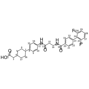 O=C(O)CC1CCC(c2ccc(NC(=O)CCNC(=O)c3ccc(-c4c(F)cccc4F)cc3)cc2)CC1